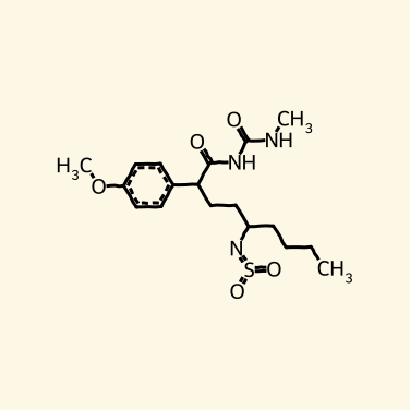 CCCCC(CCC(C(=O)NC(=O)NC)c1ccc(OC)cc1)N=S(=O)=O